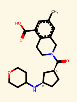 Cc1cc2c(c(C(=O)O)c1)CCN(C(=O)[C@H]1CC[C@@H](NC3CCOCC3)C1)C2